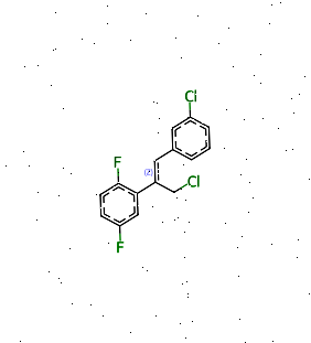 Fc1ccc(F)c(/C(=C/c2cccc(Cl)c2)CCl)c1